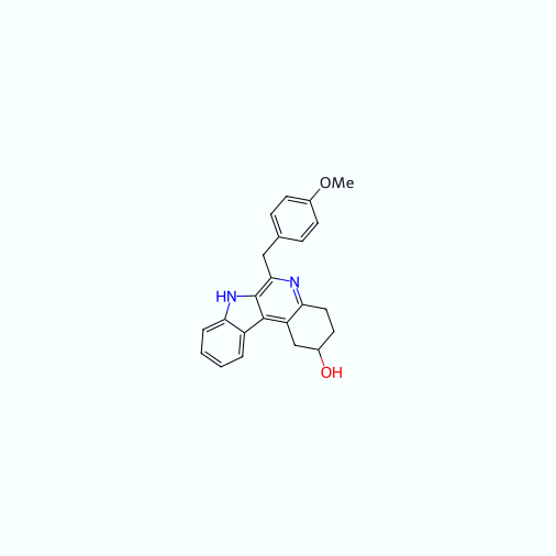 COc1ccc(Cc2nc3c(c4c2[nH]c2ccccc24)CC(O)CC3)cc1